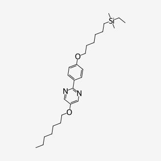 CCCCCCCOc1cnc(-c2ccc(OCCCCCC[Si](C)(C)CC)cc2)nc1